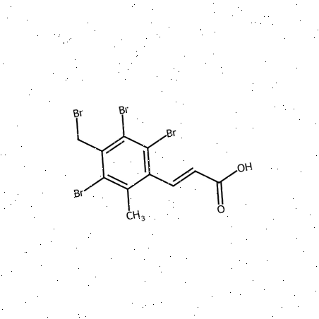 Cc1c(Br)c(CBr)c(Br)c(Br)c1C=CC(=O)O